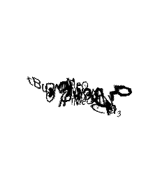 CC[C@H](C)[C@@H]([C@@H](CC(=O)N1CCC[C@H]1[C@H](OC)[C@@H](C)C(=O)NCCC1C=CC=CC=C1)OC)N(C)C(=O)[C@@H](NC(=O)[C@]1(F)CCN(C(=O)OC(C)(C)C)C1)C(C)C